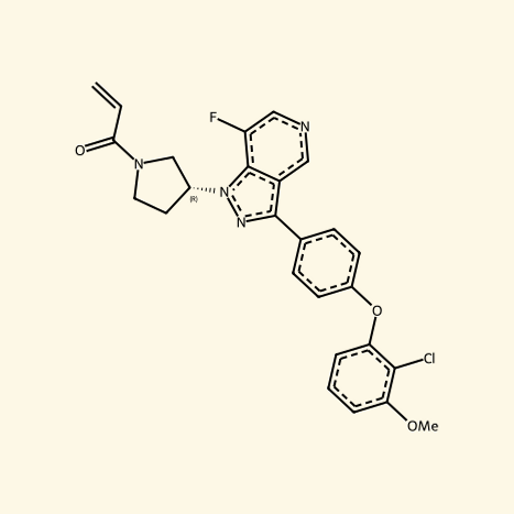 C=CC(=O)N1CC[C@@H](n2nc(-c3ccc(Oc4cccc(OC)c4Cl)cc3)c3cncc(F)c32)C1